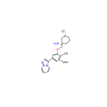 CSc1cc(-c2cnc3ccccn23)cc(OC[C@]2(N)CCC[C@@H](C(F)(F)F)C2)c1C#N